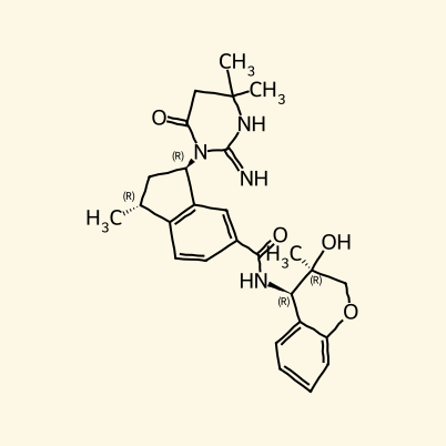 C[C@@H]1C[C@@H](N2C(=N)NC(C)(C)CC2=O)c2cc(C(=O)N[C@@H]3c4ccccc4OC[C@]3(C)O)ccc21